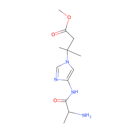 COC(=O)CC(C)(C)n1cnc(NC(=O)C(C)N)c1